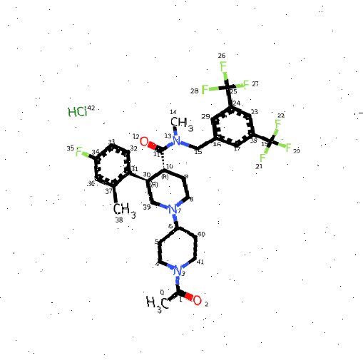 CC(=O)N1CCC(N2CC[C@@H](C(=O)N(C)Cc3cc(C(F)(F)F)cc(C(F)(F)F)c3)[C@H](c3ccc(F)cc3C)C2)CC1.Cl